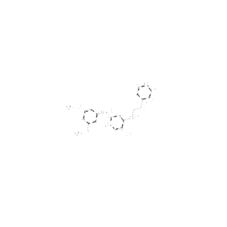 COc1cc(Nc2ncc(Br)c(NCCc3ccncc3)n2)cc(OC)c1